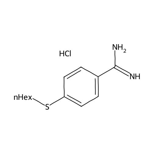 CCCCCCSc1ccc(C(=N)N)cc1.Cl